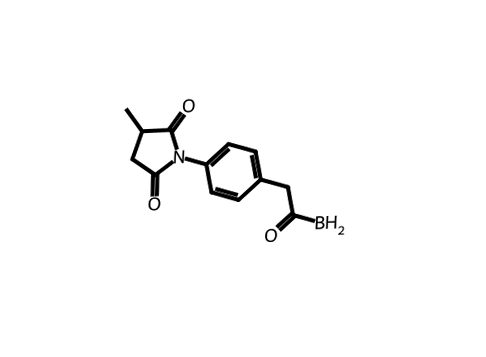 BC(=O)Cc1ccc(N2C(=O)CC(C)C2=O)cc1